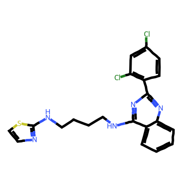 Clc1ccc(-c2nc(NCCCCNc3nccs3)c3ccccc3n2)c(Cl)c1